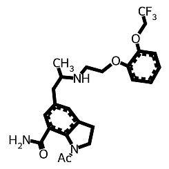 CC(=O)N1CCc2cc(CC(C)NCCOc3ccccc3OCC(F)(F)F)cc(C(N)=O)c21